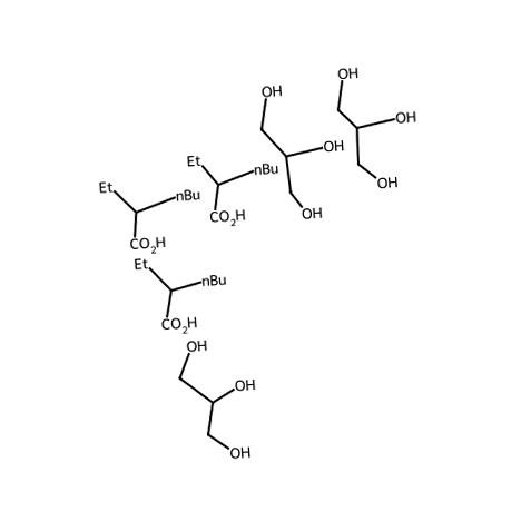 CCCCC(CC)C(=O)O.CCCCC(CC)C(=O)O.CCCCC(CC)C(=O)O.OCC(O)CO.OCC(O)CO.OCC(O)CO